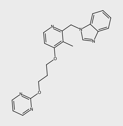 Cc1c(OCCCOc2ncccn2)ccnc1Cn1cnc2ccccc21